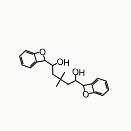 CC(C)(CC(O)C1Oc2ccccc21)CC(O)C1Oc2ccccc21